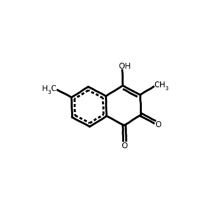 CC1=C(O)c2cc(C)ccc2C(=O)C1=O